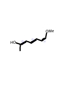 CO\C=C/C=C/C=C(\C)O